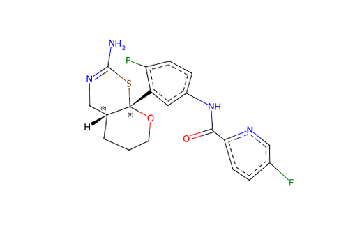 NC1=NC[C@H]2CCCO[C@@]2(c2cc(NC(=O)c3ccc(F)cn3)ccc2F)S1